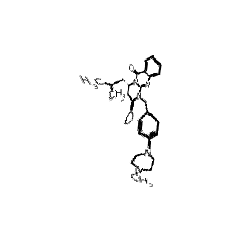 CC(C)C[C@H]1CC(=O)N(Cc2ccc(N3CCN(C)CC3)cc2)c2nc3ccccc3c(=O)n21